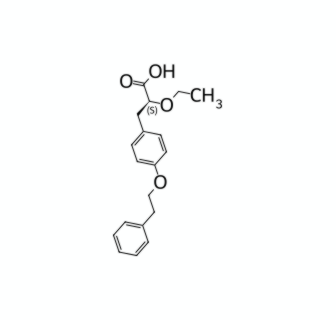 CCO[C@@H](Cc1ccc(OCCc2ccccc2)cc1)C(=O)O